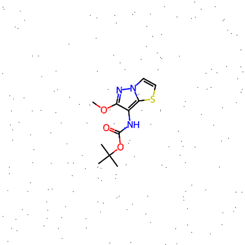 COc1nn2ccsc2c1NC(=O)OC(C)(C)C